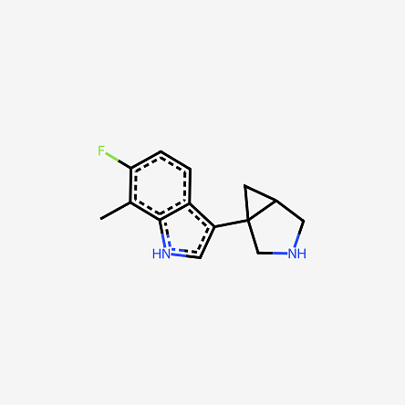 Cc1c(F)ccc2c(C34CNCC3C4)c[nH]c12